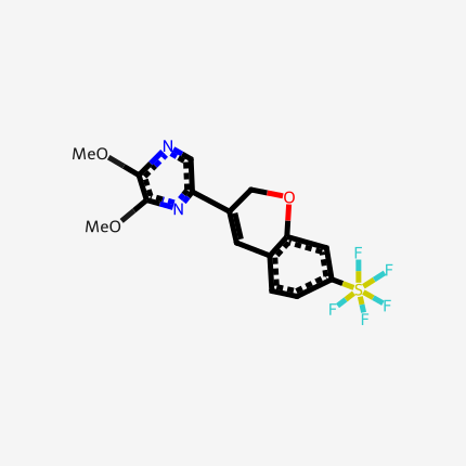 COc1ncc(C2=Cc3ccc(S(F)(F)(F)(F)F)cc3OC2)nc1OC